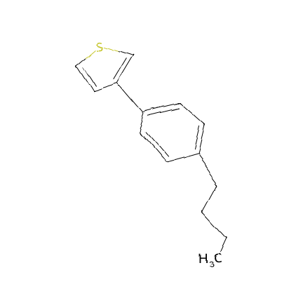 CCCCc1ccc(-c2ccsc2)cc1